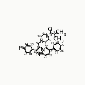 CC(C)C(=O)N1CCN(Cc2c(-c3ccc(F)cc3)nc3ccc(-c4ccccc4)cn23)CC1